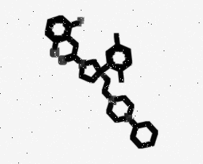 Cc1ccc(C)c([C@]2(CCN3CCN(C4CCCCC4)CC3)CCN(C(=O)Cc3c(F)cccc3Cl)C2)c1